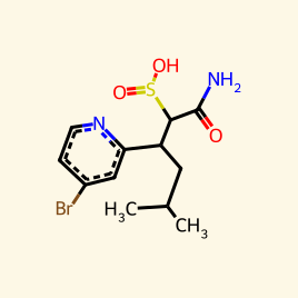 CC(C)CC(c1cc(Br)ccn1)C(C(N)=O)S(=O)O